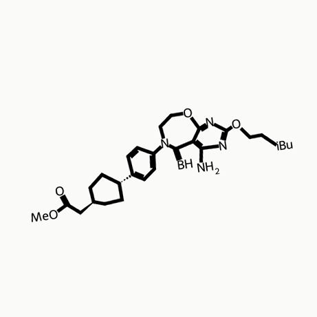 B=C1c2c(N)nc(OCCC(C)CC)nc2OCCN1c1ccc([C@H]2CC[C@H](CC(=O)OC)CC2)cc1